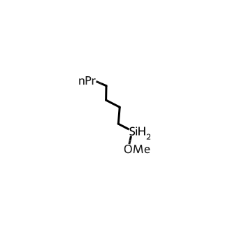 CCCCCCC[SiH2]OC